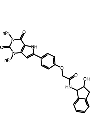 CCCn1c(=O)c2[nH]c(-c3ccc(OCC(=O)NC4c5ccccc5CC4O)cc3)cc2n(CCC)c1=O